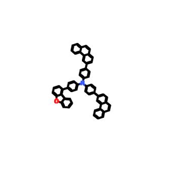 c1ccc2c(c1)ccc1ccc(-c3ccc(N(c4ccc(-c5ccc6ccc7ccccc7c6c5)cc4)c4ccc(-c5cccc6oc7ccccc7c56)cc4)cc3)cc12